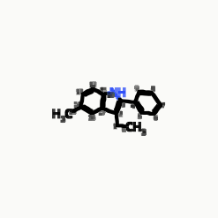 CCc1c(-c2ccccc2)[nH]c2ccc(C)cc12